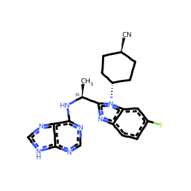 C[C@H](Nc1ncnc2[nH]cnc12)c1nc2ccc(F)cc2n1[C@H]1CC[C@H](C#N)CC1